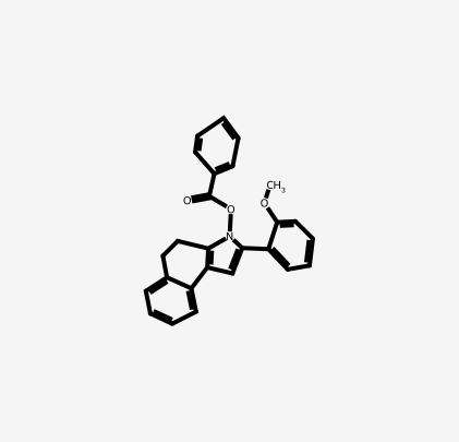 COc1ccccc1-c1cc2c(n1OC(=O)c1ccccc1)CCc1ccccc1-2